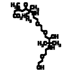 CN(CC(=O)O)CC(=O)C(C)(C)NCCOCCOCC(O)C(C)(C)NCCOCCO